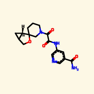 NC(=O)c1cncc(NC(=O)C(=O)N2CCCC3(C2)OCC2C[C@@H]23)c1